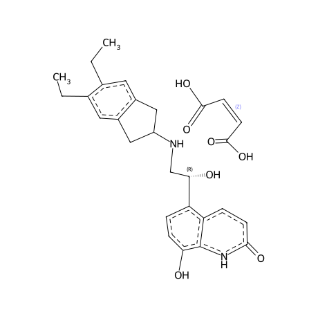 CCc1cc2c(cc1CC)CC(NC[C@H](O)c1ccc(O)c3[nH]c(=O)ccc13)C2.O=C(O)/C=C\C(=O)O